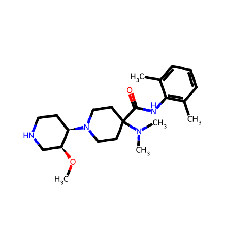 CO[C@H]1CNCC[C@H]1N1CCC(C(=O)Nc2c(C)cccc2C)(N(C)C)CC1